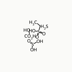 CCS(=O)(=O)O.O=C(O)O.O=S(O)O.S